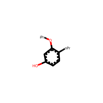 CCCc1ccc(O)cc1OC(C)C